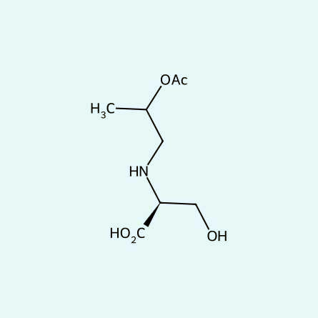 CC(=O)OC(C)CN[C@@H](CO)C(=O)O